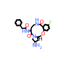 N[C@H]1C[C@H]2COc3ccc(F)cc3C(=O)NCC[C@H](NC(=O)Cc3ccccc3)C(=O)N2C1